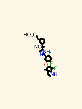 Cc1c(Oc2ccc(F)c(-c3ncc(C(C)(C#N)c4cccc(CCC(=O)O)c4)[nH]3)c2)c(F)c(F)c2[nH]ccc12